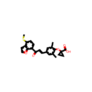 CSc1ccc(C(=O)/C=C/c2cc(C)c(OC3(C(=O)O)CC3)c(C)c2)c2occc12